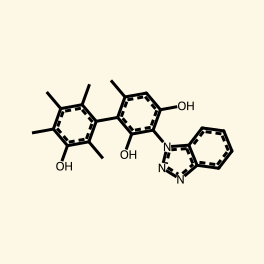 Cc1cc(O)c(-n2nnc3ccccc32)c(O)c1-c1c(C)c(C)c(C)c(O)c1C